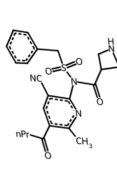 CCCC(=O)c1cc(C#N)c(N(C(=O)C2CNC2)S(=O)(=O)Cc2ccccc2)nc1C